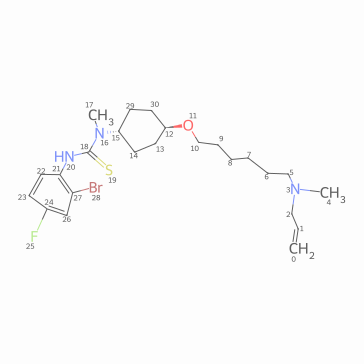 C=CCN(C)CCCCCCO[C@H]1CC[C@H](N(C)C(=S)Nc2ccc(F)cc2Br)CC1